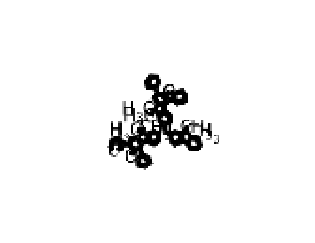 CC1(C)c2ccccc2-c2ccc(N(c3ccc4c(c3)C(C)(C)c3cc(-c5ccccc5)c5oc6ccccc6c5c3-4)c3ccc4c(c3)C(C)(C)c3cc(-c5ccccc5)c5oc6ccccc6c5c3-4)cc21